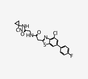 N#CC1(NC(=O)CNC(=O)Cc2nc3c(Cl)cc(-c4ccc(F)cc4)cc3s2)CC1